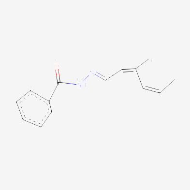 C\C=C/C(C)=C\C=N\NC(=O)c1ccccc1